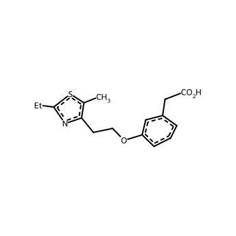 CCc1nc(CCOc2cccc(CC(=O)O)c2)c(C)s1